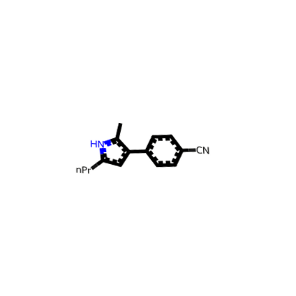 CCCc1cc(-c2ccc(C#N)cc2)c(C)[nH]1